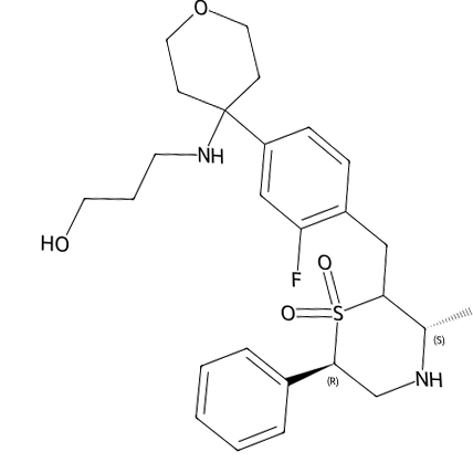 C[C@@H]1NC[C@@H](c2ccccc2)S(=O)(=O)C1Cc1ccc(C2(NCCCO)CCOCC2)cc1F